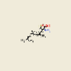 CC(C)=CCCC(C)=CCCC(C)=CCC(CS)[C@@H](N)C(=O)O